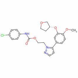 COc1ccc(-c2ccnn2CCOC(=O)Nc2ccc(Cl)cc2)cc1O[C@@H]1CCOC1